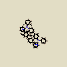 Cc1ccccc1N(c1ccccc1C)c1ccc2c(c1C)C1(c3cc(N(c4ccccc4)c4ccccc4)ccc3-2)c2cc(C#N)ccc2-c2cc(C)c(C#N)c(C)c21